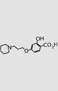 O=C(O)c1ccc(OCCCN2CCCCC2)cc1O